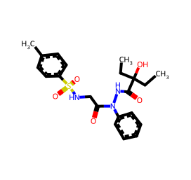 CCC(O)(CC)C(=O)NN(C(=O)CNS(=O)(=O)c1ccc(C)cc1)c1ccccc1